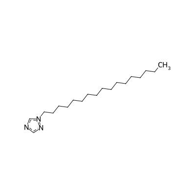 CCCCCCCCCCCCCCCCCn1cncn1